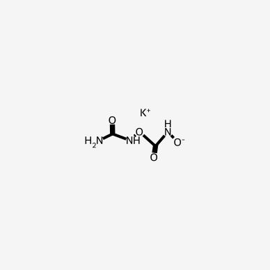 NC(=O)NOC(=O)N[O-].[K+]